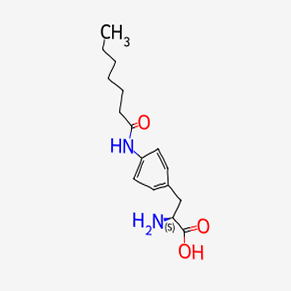 CCCCCCC(=O)Nc1ccc(C[C@H](N)C(=O)O)cc1